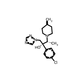 C=C1CCN([C@H](C)[C@](O)(Cn2cncn2)c2ccc(Cl)cc2)CC1